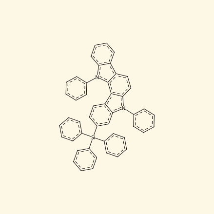 c1ccc(-n2c3cc([Si](c4ccccc4)(c4ccccc4)c4ccccc4)ccc3c3c2ccc2c4ccccc4n(-c4ccccc4)c23)cc1